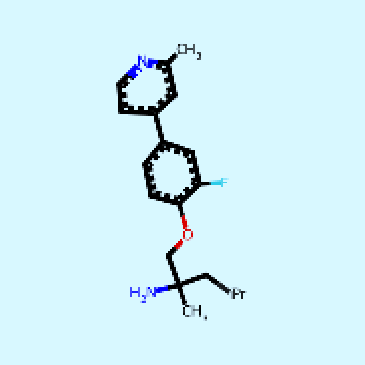 Cc1cc(-c2ccc(OCC(C)(N)CC(C)C)c(F)c2)ccn1